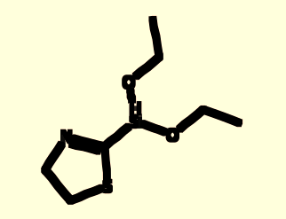 CCO[SiH](OCC)C1=NCCS1